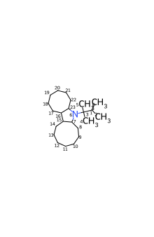 CC(C)C(C)(C)N1C2CCCCCCCC2C2CCCCCCC21